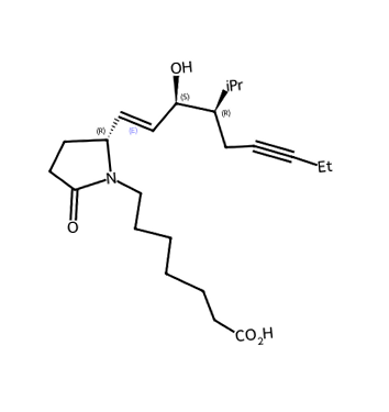 CCC#CC[C@H](C(C)C)[C@H](O)/C=C/[C@H]1CCC(=O)N1CCCCCCC(=O)O